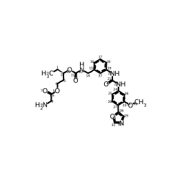 CC[C@H](CCOC(=O)CN)OC(=O)NCc1cccc(NC(=O)Nc2ccc(-c3cnco3)c(OC)c2)c1